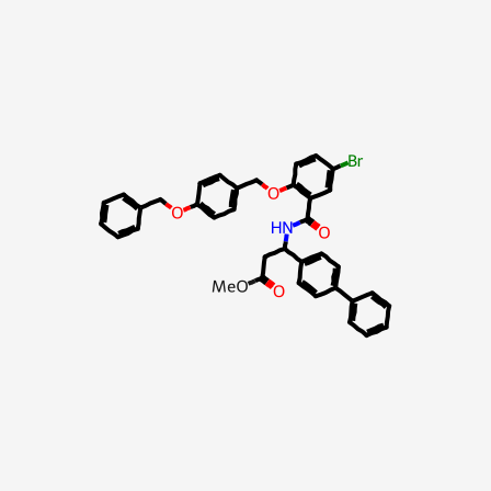 COC(=O)CC(NC(=O)c1cc(Br)ccc1OCc1ccc(OCc2ccccc2)cc1)c1ccc(-c2ccccc2)cc1